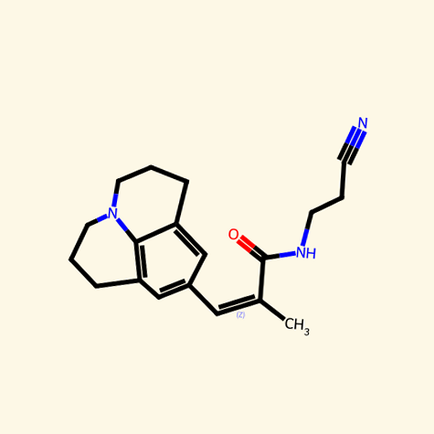 C/C(=C/c1cc2c3c(c1)CCCN3CCC2)C(=O)NCCC#N